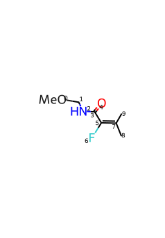 COCNC(=O)C(F)=C(C)C